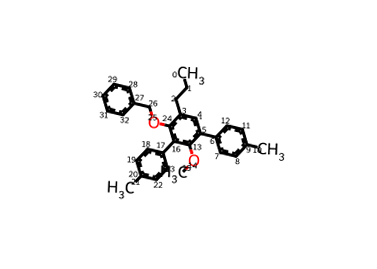 CCCc1[c]c(-c2ccc(C)cc2)c(OC)c(-c2ccc(C)cc2)c1OCc1ccccc1